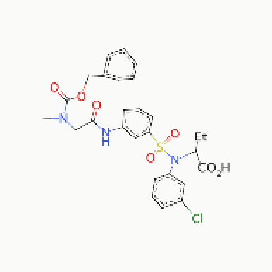 CCC(C(=O)O)N(c1cccc(Cl)c1)S(=O)(=O)c1cccc(NC(=O)CN(C)C(=O)OCc2ccccc2)c1